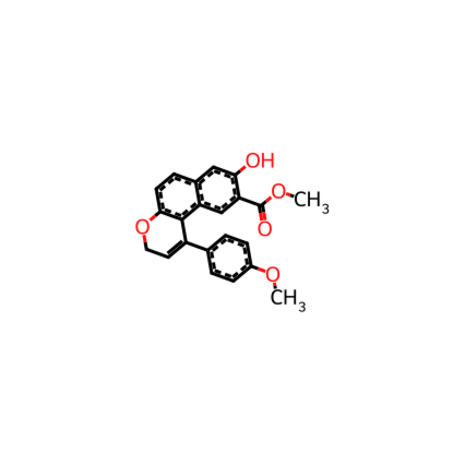 COC(=O)c1cc2c3c(ccc2cc1O)OCC=C3c1ccc(OC)cc1